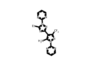 CCc1nc(-c2c(C(F)(F)F)nn(-c3ncccn3)c2N)nn1-c1ncccn1